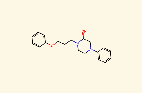 O[C@H]1CN(c2ccccc2)CCN1CCCOc1cc[c]cc1